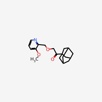 COc1cccnc1COCC(=O)C12CC3CC(CC(C3)C1)C2